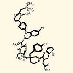 COCC(NC(=O)C(C)NCc1ccc(Cl)cc1Oc1ccc(-c2cnc(CN(C)C)n2C)cc1)C(=O)N[C@@]1(Cc2ccc(Cl)cc2)CCCN(C(=O)C(CC(=O)OC)Cc2cccc[n+]2[O-])C1